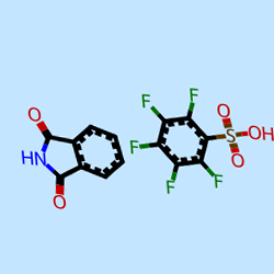 O=C1NC(=O)c2ccccc21.O=S(=O)(O)c1c(F)c(F)c(F)c(F)c1F